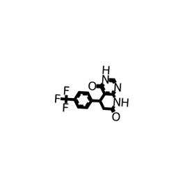 O=C1CC(c2ccc(C(F)(F)F)cc2)c2c(nc[nH]c2=O)N1